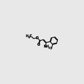 CCOC(=O)C=C(N)c1ccccc1F